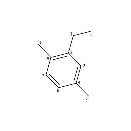 C[CH]c1cc(C)ccc1C